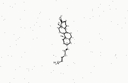 C[C@]12CC[C@@H](C=NOCCN)CC1CCC1C2CC[C@]2(C)C(=O)CCC12